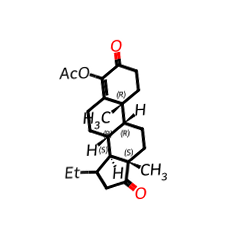 CCC1CC(=O)[C@@]2(C)CC[C@@H]3[C@@H](CCC4=C(OC(C)=O)C(=O)CC[C@@]43C)[C@H]12